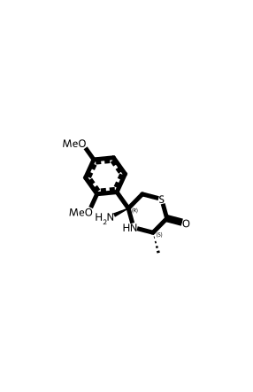 COc1ccc([C@]2(N)CSC(=O)[C@H](C)N2)c(OC)c1